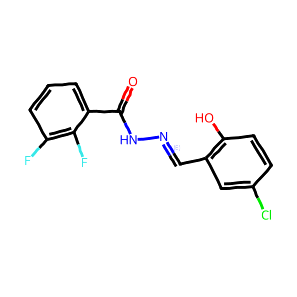 O=C(N/N=C/c1cc(Cl)ccc1O)c1cccc(F)c1F